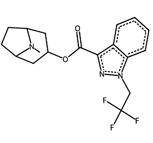 CN1C2CCC1CC(OC(=O)c1nn(CC(F)(F)F)c3ccccc13)C2